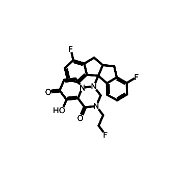 O=C1c2c(O)c(=O)ccn2N(C23c4cccc(F)c4CC2Cc2c(F)cccc23)CN1CCF